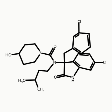 CC(C)CCN(C(=O)N1CCC(O)CC1)C1(Cc2cccc(Cl)c2)C(=O)Nc2cc(Cl)ccc21